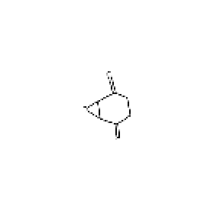 O=C1CCC(=O)C2OC12